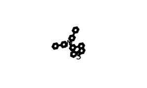 c1ccc(-c2ccc(N(c3ccc(-c4ccccc4)cc3)c3cccc(-c4cccc5ccc6sc7ccccc7c6c45)c3)cc2)cc1